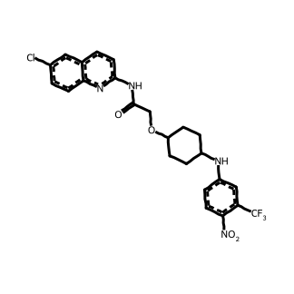 O=C(COC1CCC(Nc2ccc([N+](=O)[O-])c(C(F)(F)F)c2)CC1)Nc1ccc2cc(Cl)ccc2n1